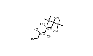 C[Si](C)(C)C(O)([C@H](O)[C@@H](O)[C@H](O)[C@H](O)CO)[Si](C)(C)C